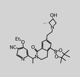 CCOc1cc(C(C)N2CCc3c(B4OC(C)(C)C(C)(C)O4)cc(CCN4C[C@@H](O)[C@H]4C)cc3C2=O)ncc1C#N